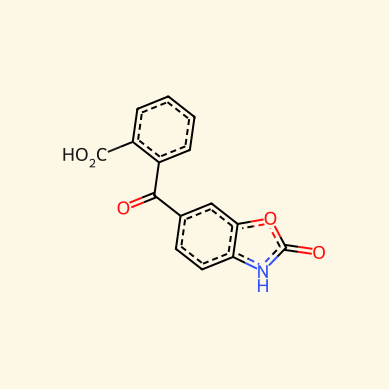 O=C(O)c1ccccc1C(=O)c1ccc2[nH]c(=O)oc2c1